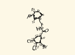 O=C(NCc1ccc(F)c(F)c1)c1cc(Cl)c(Cl)c(Br)c1